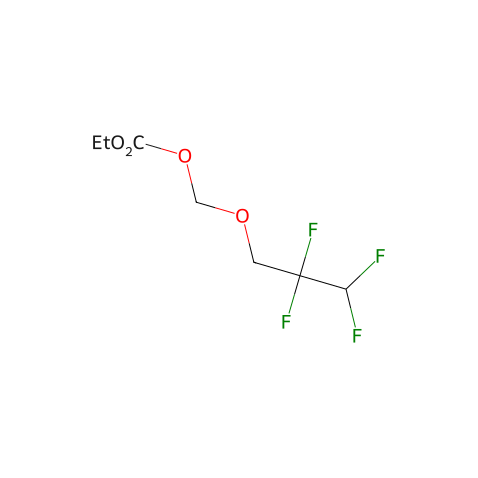 CCOC(=O)OCOCC(F)(F)C(F)F